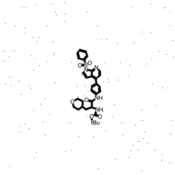 CC(C)(C)OC(=O)NC(CC1CCOCC1)C(=O)Nc1ccc(-c2ccnc3c2ccn3S(=O)(=O)c2ccccc2)cc1